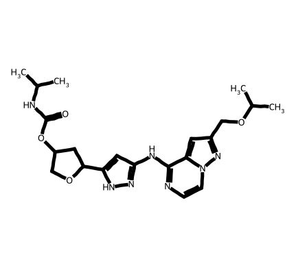 CC(C)NC(=O)OC1COC(c2cc(Nc3nccn4nc(COC(C)C)cc34)n[nH]2)C1